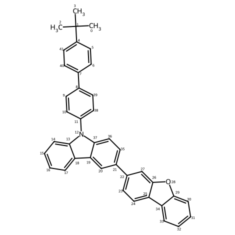 CC(C)(C)c1ccc(-c2ccc(-n3c4ccccc4c4cc(-c5ccc6c(c5)oc5ccccc56)ccc43)cc2)cc1